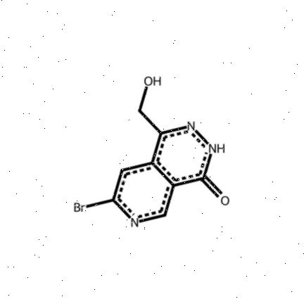 O=c1[nH]nc(CO)c2cc(Br)ncc12